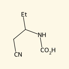 CCC(CC#N)NC(=O)O